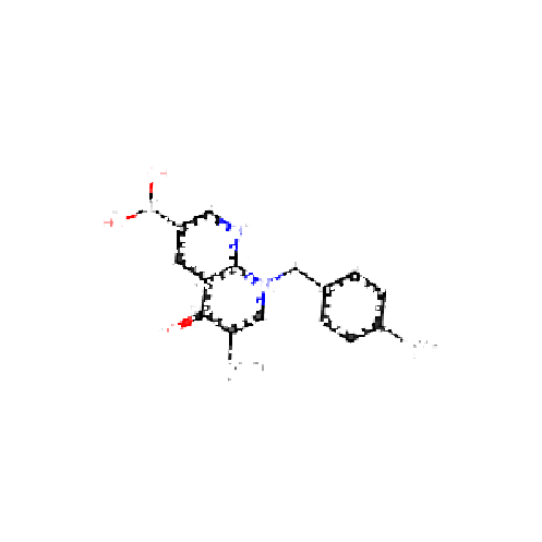 CCOC(=O)c1cn(Cc2ccc(OC)cc2)c2ncc(B(O)O)cc2c1=O